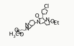 CCOc1ccc2cn(-c3ccc4nn(CCS(C)(=O)=O)cc4c3)c(=O)c(-c3ccc(Cl)cc3)c2n1